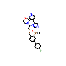 C[S+]([O-])c1cc(-c2ccc(F)cc2)ccc1CSCC(N1CCOCC1)n1cncc1-c1ccncc1